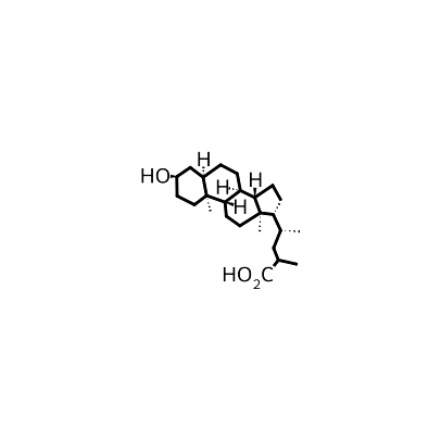 CC(C[C@@H](C)[C@H]1CC[C@H]2[C@@H]3CC[C@@H]4C[C@H](O)CC[C@]4(C)[C@H]3CC[C@]12C)C(=O)O